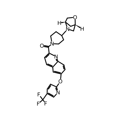 O=C(c1ccc2cc(Oc3ccc(C(F)(F)F)cn3)ccc2n1)N1CCC(N2C[C@@H]3C[C@H]2CO3)CC1